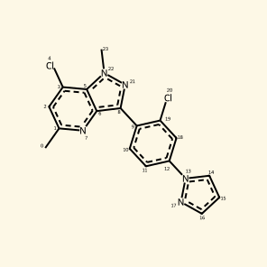 Cc1cc(Cl)c2c(n1)c(-c1ccc(-n3cccn3)cc1Cl)nn2C